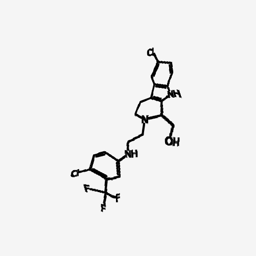 OCC1c2[nH]c3ccc(Cl)cc3c2CCN1CCNc1ccc(Cl)c(C(F)(F)F)c1